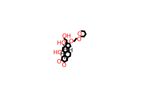 C[C@]12CC(=O)C(=O)C=C1CC[C@@H]1[C@@H]2C(O)C[C@@]2(C)[C@H]1CC(OCCOC1CCCCO1)[C@]2(O)CCO